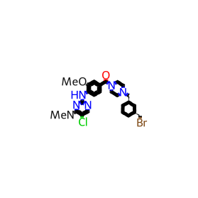 CNc1nc(Nc2ccc(C(=O)N3CCN(C[C@H]4CCC[C@@H](CBr)C4)CC3)cc2OC)ncc1Cl